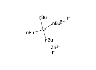 CCCC[N+](CCCC)(CCCC)CCCC.[Br-].[I-].[I-].[Zn+2]